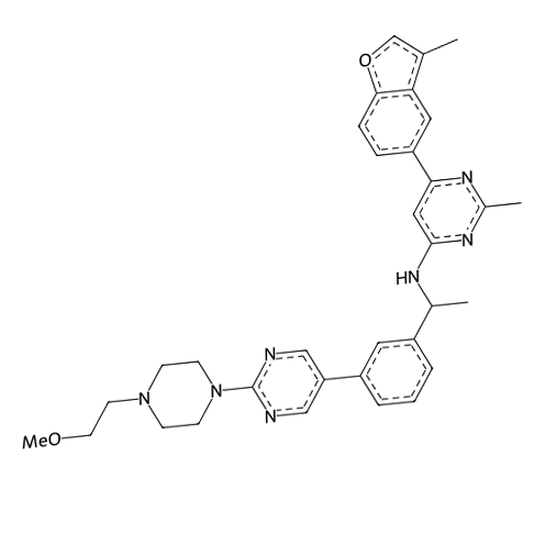 COCCN1CCN(c2ncc(-c3cccc(C(C)Nc4cc(-c5ccc6occ(C)c6c5)nc(C)n4)c3)cn2)CC1